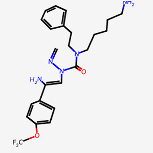 C=NN(/C=C(\N)c1ccc(OC(F)(F)F)cc1)C(=O)N(CCCCCN)CCc1ccccc1